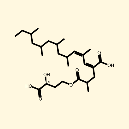 CCC(C)CC(C)CC(C)CC(C)C=C(C)C=C(CC(C)C(=O)OCC[C@H](O)C(=O)O)C(=O)O